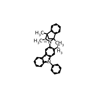 Cc1cc2c(cc1N1[C@@H](C)C3(C)CC1(C)c1ccccc13)c1ccccc1n2-c1ccccc1